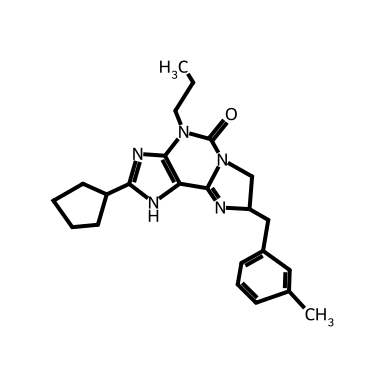 CCCN1C(=O)N2CC(Cc3cccc(C)c3)N=C2c2[nH]c(C3CCCC3)nc21